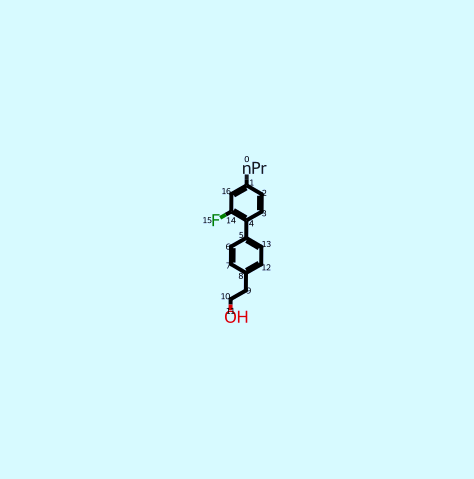 CCCc1ccc(-c2ccc(CCO)cc2)c(F)c1